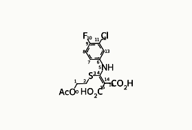 CC(=O)OCCSC(Nc1ccc(F)c(Cl)c1)=C(C(=O)O)C(=O)O